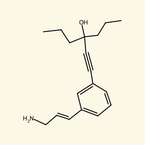 CCCC(O)(C#Cc1cccc(/C=C/CN)c1)CCC